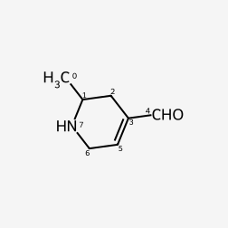 CC1CC(C=O)=CCN1